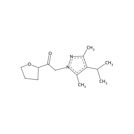 Cc1nn(CC(=O)C2CCCO2)c(C)c1C(C)C